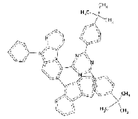 CC(C)(C)c1ccc(-c2nc(-c3ccc(C(C)(C)C)cc3)nc(-c3c(-n4c5ccccc5c5ccccc54)ccc4c3c3ccccc3n4-c3ccccc3)n2)cc1